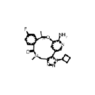 C[C@H]1Oc2cc(cnc2N)-c2c(nnn2C2CCC2)CN(C)C(=O)c2ccc(F)cc21